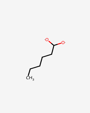 CCCCCC([O])[O]